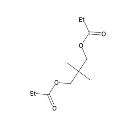 [CH2]C([CH2])(COC(=O)CC)COC(=O)CC